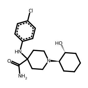 NC(=O)C1(Nc2ccc(Cl)cc2)CCN([C@@H]2CCCC[C@H]2O)CC1